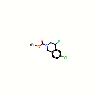 CC(C)(C)OC(=O)N1Cc2ccc(Cl)cc2C(F)C1